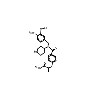 CCOc1cc(CN(C(=O)c2ccc(CC(C)C(=O)OC)cc2)C2CCNCC2)ccc1OC